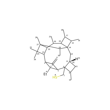 C=C1C2C(CC)C1C1(CS)C(C)C[C@H]1CC13C(C)C(C)C1C(C)C1C2C(C)(C)C1(C)C3C